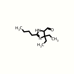 CCCCC1=NC(CC)(CC)C(C=O)N1